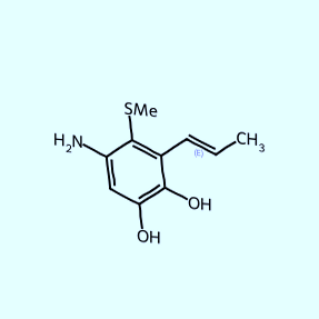 C/C=C/c1c(O)c(O)cc(N)c1SC